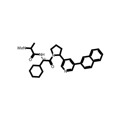 CNC(C)C(=O)N[C@H](C(=O)N1CCCC1c1cncc(-c2ccc3ccccc3c2)c1)C1CCCCC1